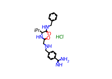 CC(C)C(NC(=O)CNCc1ccc(C(=N)N)cc1)C(=O)NCc1ccccc1.Cl